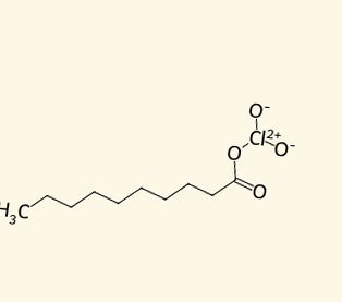 CCCCCCCCCC(=O)O[Cl+2]([O-])[O-]